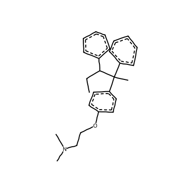 CCC(c1ccccc1)C(C)(c1ccccc1)c1ccc(OCCN(C)C)cc1